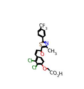 Cc1nc(-c2ccc(C(F)(F)F)cc2)sc1C(=O)/C=C\c1ccc(OCC(=O)O)c(Cl)c1Cl